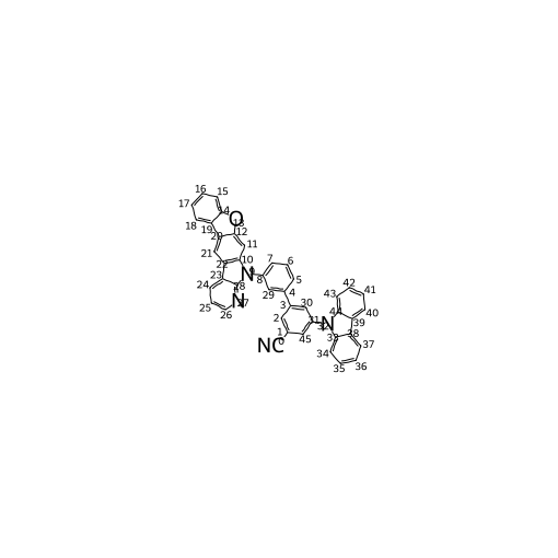 N#Cc1cc(-c2cccc(-n3c4cc5oc6ccccc6c5cc4c4cccnc43)c2)cc(-n2c3ccccc3c3ccccc32)c1